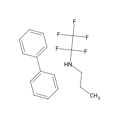 CCCNC(F)(F)C(F)(F)F.c1ccc(-c2ccccc2)cc1